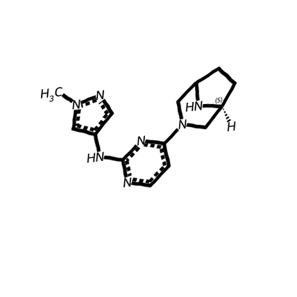 Cn1cc(Nc2nccc(N3CC4CC[C@@H](C3)N4)n2)cn1